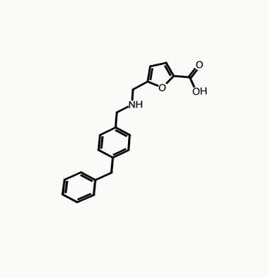 O=C(O)c1ccc(CNCc2ccc(Cc3ccccc3)cc2)o1